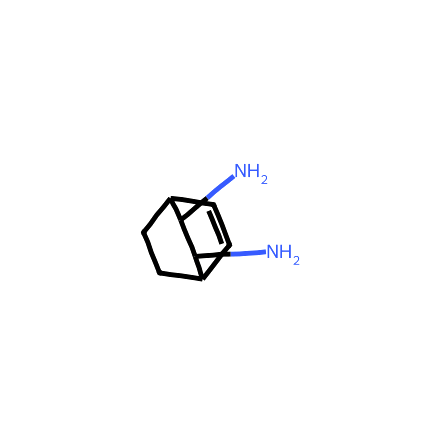 NC1C2C=CC(CC2)C1N